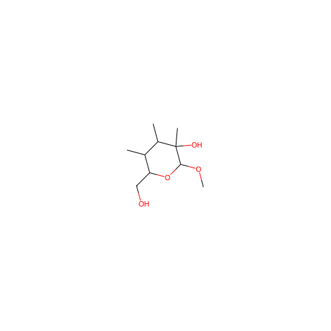 COC1OC(CO)C(C)C(C)C1(C)O